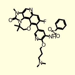 CN(C)CCCOc1ncc(-c2c(F)cc3ncc4c5c3c2OCC(C)(C)n5c(=O)n4C)cc1NS(=O)(=O)c1ccccc1